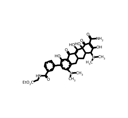 CCOC(=O)CNC(=O)c1cccc(-c2cc(N(C)C)c3c(c2O)C(=O)C2=C(O)C4(O)C(=O)C(C(N)=O)=C(O)C(N(C)C)C4CC2C3)c1